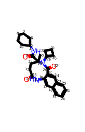 CC1(C(=O)NC2CCCCC2)CCC(=O)Nc2cc3ccccc3cc2C(=O)N1C1CCC1